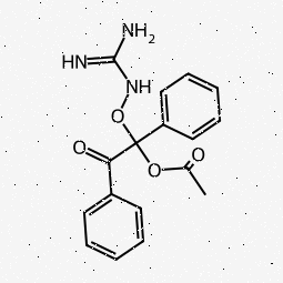 CC(=O)OC(ONC(=N)N)(C(=O)c1ccccc1)c1ccccc1